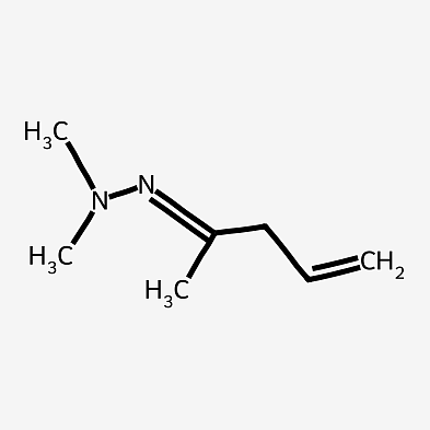 C=CC/C(C)=N/N(C)C